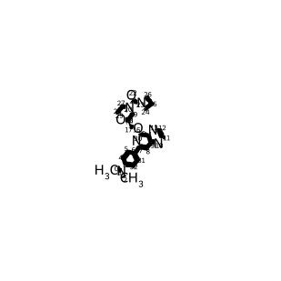 CN(C)c1ccc(-c2cc3nccnc3c(OC[C@@H]3CN(C(=O)N4CCC4)CCO3)n2)cc1